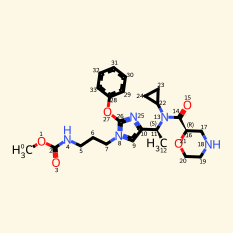 COC(=O)NCCCn1cc([C@H](C)N(C(=O)[C@H]2CNCCO2)C2CC2)nc1Oc1ccccc1